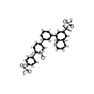 CC(C)(c1cc(-c2cccc(-c3ccc(-c4ccc(S(C)(=O)=O)cc4)[n+]([O-])c3)c2)c2ncccc2c1)S(C)(=O)=O